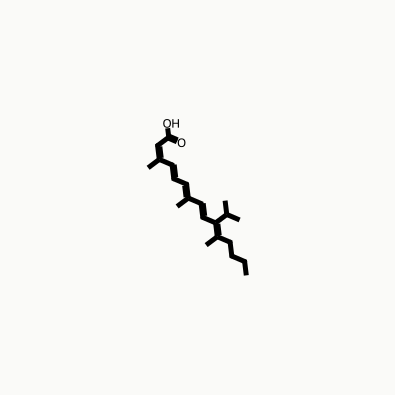 CCCC/C(C)=C(/C=C/C(C)=C/C=C/C(C)=C\C(=O)O)C(C)C